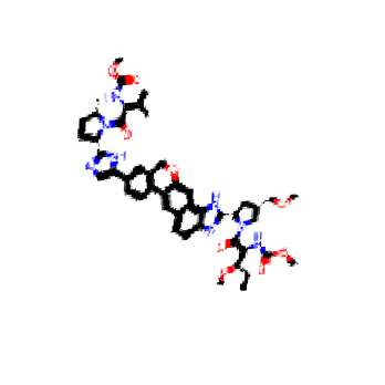 CC[C@@H](OC)[C@H](NC(=O)OC)C(=O)N1C[C@@H](COC)C[C@H]1c1nc2ccc3cc4c(cc3c2[nH]1)OCc1cc(-c2cnc([C@@H]3CC[C@H](C)N3C(=O)[C@@H](NC(=O)OC)C(C)C)[nH]2)ccc1-4